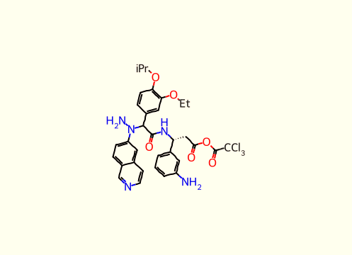 CCOc1cc(C(C(=O)N[C@H](CC(=O)OC(=O)C(Cl)(Cl)Cl)c2cccc(N)c2)N(N)c2ccc3cnccc3c2)ccc1OC(C)C